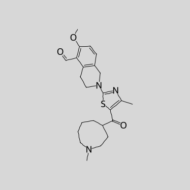 COc1ccc2c(c1C=O)CCN(c1nc(C)c(C(=O)C3CCCCN(C)CC3)s1)C2